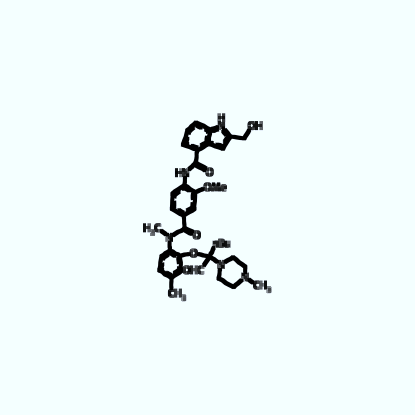 CCCCC(C=O)(Oc1cc(C)ccc1N(C)C(=O)c1ccc(NC(=O)c2cccc3[nH]c(CO)cc23)c(OC)c1)N1CCN(C)CC1